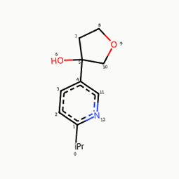 CC(C)c1ccc(C2(O)CCOC2)cn1